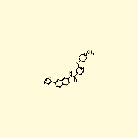 CN1CCC(Sc2cc(C(=O)Nc3cc4cc(-c5cnco5)ccc4cn3)ccn2)CC1